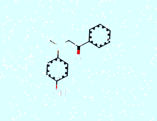 C[S+](CC(=O)c1ccccc1)c1ccc(O)cc1